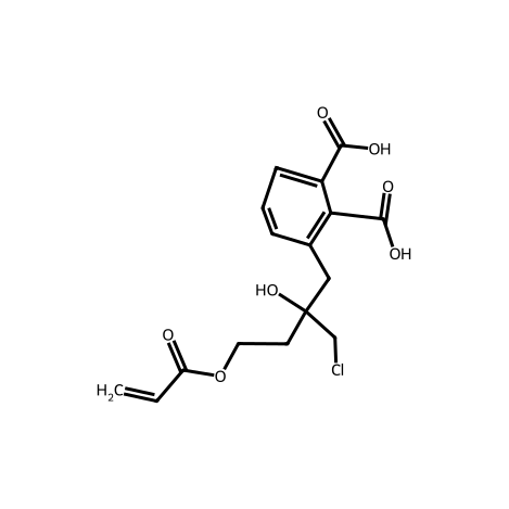 C=CC(=O)OCCC(O)(CCl)Cc1cccc(C(=O)O)c1C(=O)O